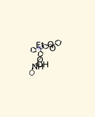 CC/C(=C(/c1ccc(OCC(O)CNCC2CCCCC2)cc1)c1ccc(OC(=O)c2ccccc2)cc1)c1ccccc1